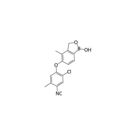 [C-]#[N+]c1cc(Cl)c(Oc2ccc3c(c2C)COB3O)cc1C